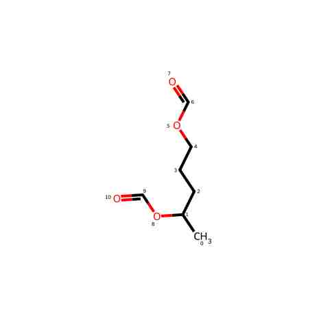 CC(CCCOC=O)OC=O